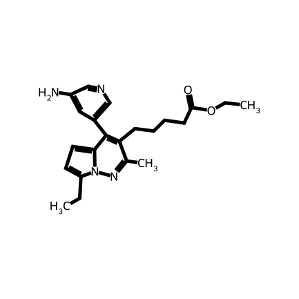 CCOC(=O)CCCCc1c(C)nn2c(CC)ccc2c1-c1cncc(N)c1